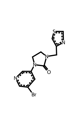 O=C1N(Cc2cscn2)CCN1c1cncc(Br)c1